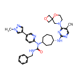 Cn1cc(-c2ccc(N(C(=O)NCc3ccccc3)[C@H]3CCC[C@H](Nc4ncc(C#N)c(N5CCOC6(COC6)C5)n4)CC3)nc2)cn1